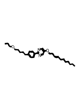 CCCCCCCC=CCCOc1cnc(-c2ccc(CCCCCOCCC)cc2)nc1